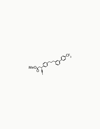 CC#C[C@@H](CC(=O)OC)c1ccc(CCCc2cccc(-c3ccc(C(F)(F)F)cc3)c2)cc1